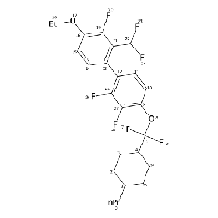 CCCC1CCC(C(F)(F)Oc2ccc(-c3ccc(OCC)c(F)c3C(F)F)c(F)c2F)CC1